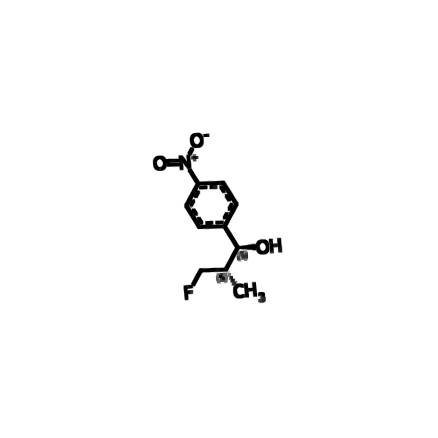 C[C@H](CF)[C@H](O)c1ccc([N+](=O)[O-])cc1